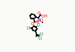 CON=C(C(=O)O)c1ccccc1C(OC)Oc1c(Cl)cc(C2CC2(Cl)Cl)cc1Cl